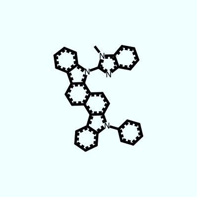 Cn1c(-n2c3ccccc3c3ccc4c(ccc5c4c4ccccc4n5-c4ccccc4)c32)nc2ccccc21